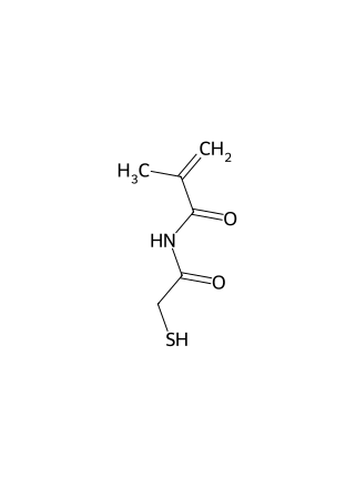 C=C(C)C(=O)NC(=O)CS